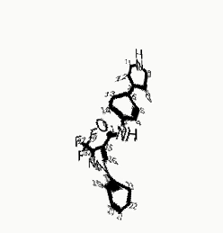 O=C(Nc1ccc(C2CCNCC2)cc1)c1cn(-c2ccccc2)nc1C(F)(F)F